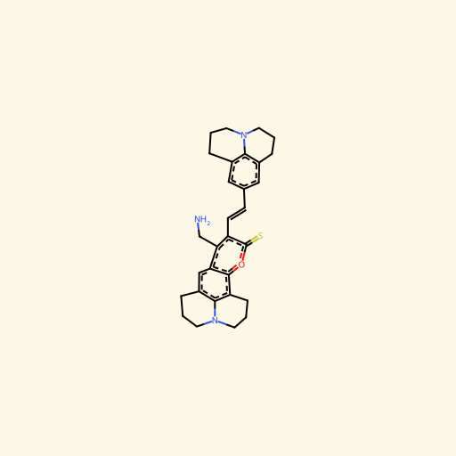 NCc1c(/C=C/c2cc3c4c(c2)CCCN4CCC3)c(=S)oc2c3c4c(cc12)CCCN4CCC3